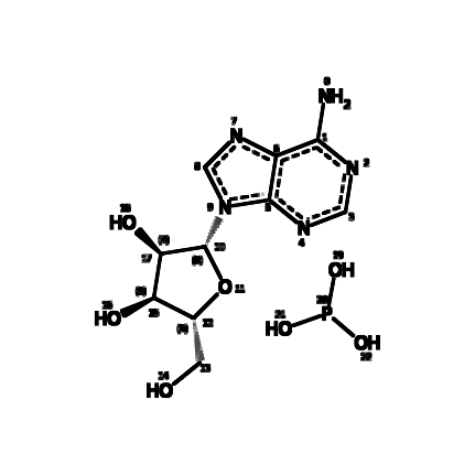 Nc1ncnc2c1ncn2[C@@H]1O[C@H](CO)[C@@H](O)[C@H]1O.OP(O)O